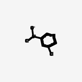 [O-][S+](Cl)c1cncc(Cl)c1